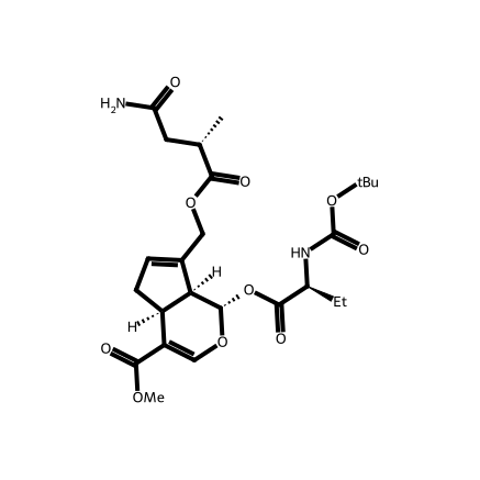 CC[C@H](NC(=O)OC(C)(C)C)C(=O)O[C@@H]1OC=C(C(=O)OC)[C@H]2CC=C(COC(=O)[C@@H](C)CC(N)=O)[C@@H]12